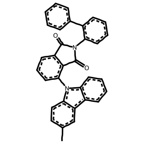 Cc1ccc2c(c1)c1ccccc1n2-c1cccc2c1C(=O)N(c1ccccc1-c1ccccc1)C2=O